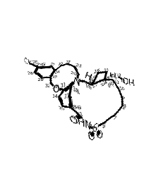 O=C1NS(=O)(=O)CCCCC[C@@H](CO)[C@@H]2CC[C@H]2CN2CCCCc3cc(Cl)ccc3COc3ccc1cc32